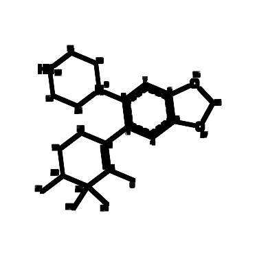 CC1=C(c2cc3c(cc2N2CCNCC2)OCO3)CCC(C)C1(C)C